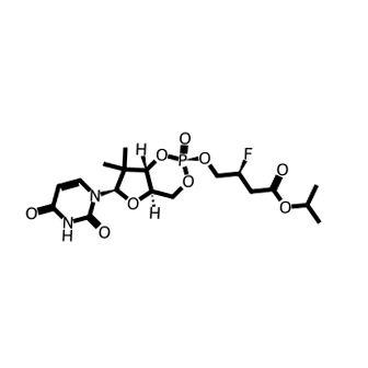 CC(C)OC(=O)C[C@H](F)CO[P@@]1(=O)OC[C@H]2O[C@@H](n3ccc(=O)[nH]c3=O)C(C)(C)[C@@H]2O1